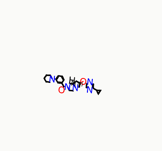 O=C(c1cccc(N2CCCCC2)c1)N1CCN2C[C@H](Oc3cnc(C4CC4)cn3)C[C@H]2C1